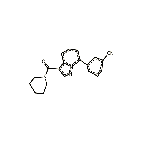 N#Cc1cccc(-c2cccc3c(C(=O)N4CCCCC4)cnn23)c1